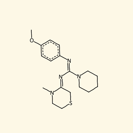 COc1ccc(N=C(N=C2CSCCN2C)N2CCCCC2)cc1